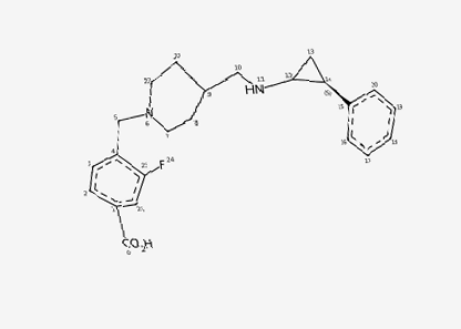 O=C(O)c1ccc(CN2CCC(CNC3C[C@H]3c3ccccc3)CC2)c(F)c1